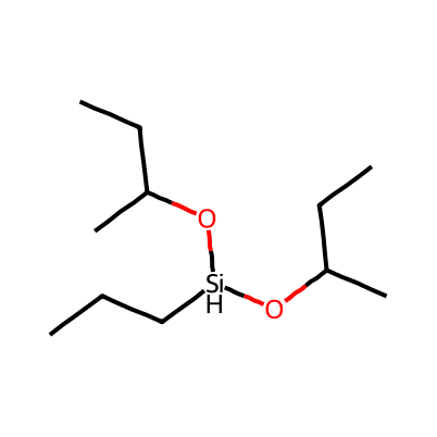 CCC[SiH](OC(C)CC)OC(C)CC